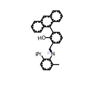 Cc1cccc(C(C)C)c1/N=C/c1cccc(-c2c3ccccc3cc3ccccc23)c1O